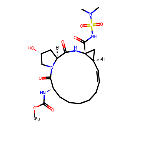 CN(C)S(=O)(=O)NC(=O)[C@@]12C[C@H]1/C=C\CCCCC[C@H](NC(=O)OC(C)(C)C)C(=O)N1C[C@H](O)C[C@H]1C(=O)N2